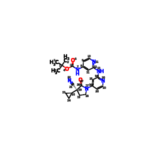 CC(C)(C)OC(=O)Nc1ccnc(Nc2cc(N3CC[C@@](C#N)(C4CC4)C3=O)ccn2)c1